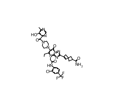 CCc1c(N2CCN(C(=O)c3ncnc(C)c3O)CC2)c(=O)n2nc(C3=CC4(C3)CC(C(N)=O)C4)nc2n1CC(=O)Nc1ccc(C(F)(F)F)cc1Cl